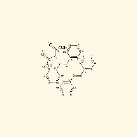 C(=Cc1ccccc1)c1ccccc1.C(=Cc1ccccc1)c1ccccc1.O=C(O)CC(=O)O